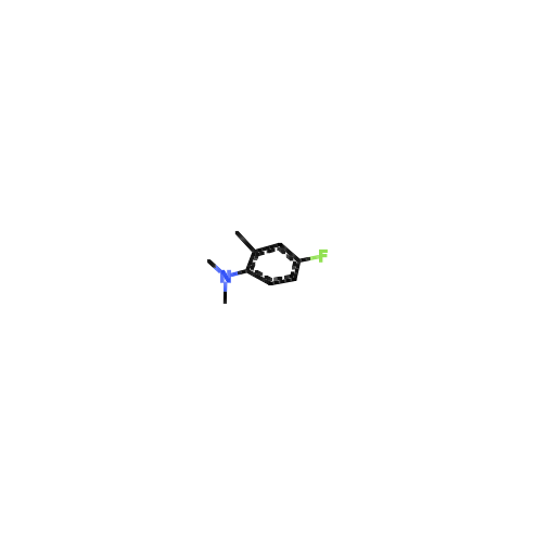 Cc1cc(F)ccc1N(C)C